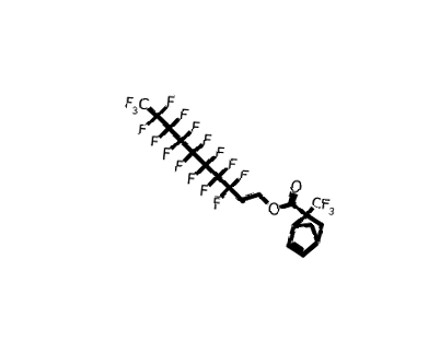 O=C(OCCC(F)(F)C(F)(F)C(F)(F)C(F)(F)C(F)(F)C(F)(F)C(F)(F)C(F)(F)F)C1(C(F)(F)F)CC2C=CC1C2